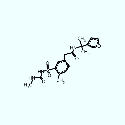 CNC(=O)NS(=O)(=O)c1cc(CC(=O)NC(C)(C)c2ccoc2)ccc1C